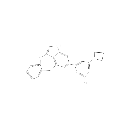 Nc1nc(-c2cc3c4c(n[nH]c4c2)Nc2ccccc2O3)cc(N2CCC2)n1